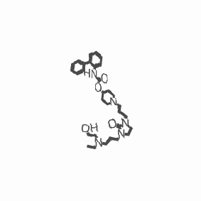 CCN(CCO)CCCN1CCN(CCCN2CCC(OC(=O)Nc3ccccc3-c3ccccc3)CC2)C1=O